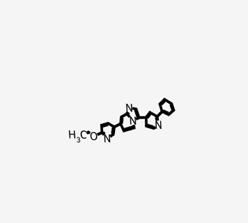 CCOc1ccc(-c2ccn3c(-c4ccnc(-c5ccccc5)c4)cnc3c2)cn1